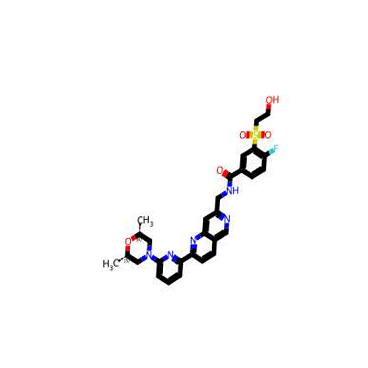 C[C@@H]1CN(c2cccc(-c3ccc4cnc(CNC(=O)c5ccc(F)c(S(=O)(=O)CCO)c5)cc4n3)n2)C[C@H](C)O1